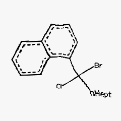 CCCCCCCC(Cl)(Br)c1cccc2ccccc12